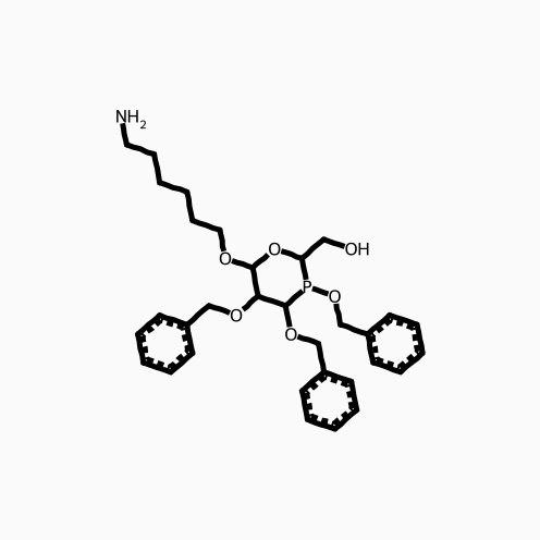 NCCCCCCOC1OC(CO)P(OCc2ccccc2)C(OCc2ccccc2)C1OCc1ccccc1